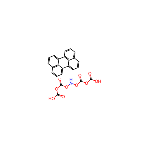 O=C(O)OC(=O)ONOC(=O)OC(=O)O.c1cc2cccc3c4cccc5cccc(c(c1)c23)c54